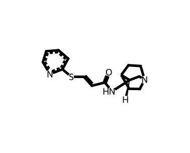 O=C(C=CSc1ccccn1)N[C@H]1CN2CCC1CC2